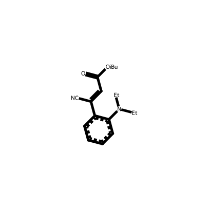 CCN(CC)c1ccccc1C(C#N)=CC(=O)OCC(C)C